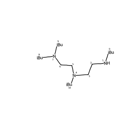 CCC(C)NCCN(CCN(C(C)CC)C(C)CC)C(C)CC